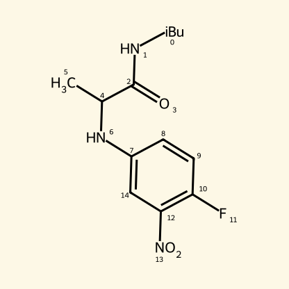 CCC(C)NC(=O)C(C)Nc1ccc(F)c([N+](=O)[O-])c1